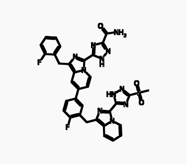 CS(=O)(=O)c1n[nH]c(-c2nc(Cc3cc(-c4ccn5c(-c6nc(C(N)=O)n[nH]6)nc(Cc6ccccc6F)c5c4)ccc3F)c3ccccn23)n1